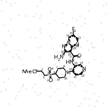 COCCS(=O)(=O)C1CCN(c2ccncc2NC(=O)c2c(N)nn3cc(F)cnc23)CC1